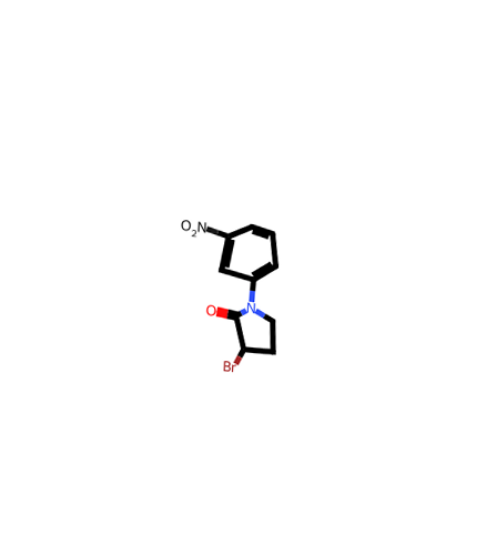 O=C1C(Br)CCN1c1cccc([N+](=O)[O-])c1